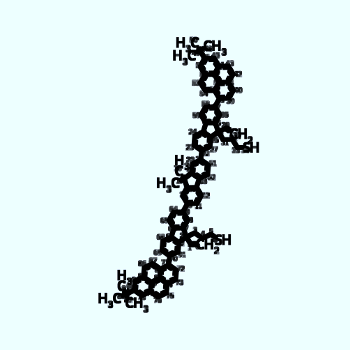 C=CC1(CCCS)c2cc(-c3ccc4c(c3)C(C)(C)c3cc(-c5ccc6c(c5)C(C=C)(CCCS)c5cc(-c7ccc8ccc9cc(C(C)(C)C)cc%10ccc7c8c9%10)ccc5-6)ccc3-4)ccc2-c2ccc(-c3ccc4ccc5cc(C(C)(C)C)cc6ccc3c4c56)cc21